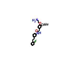 COc1cc(CC(=O)Nc2cccc(CCc3ccccc3F)c2)ccc1OCCN